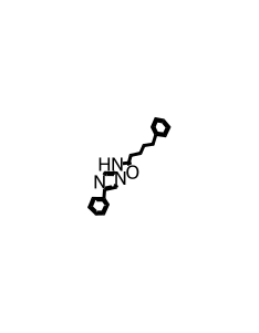 O=C(CCCCc1ccccc1)Nc1cnc(-c2ccccc2)cn1